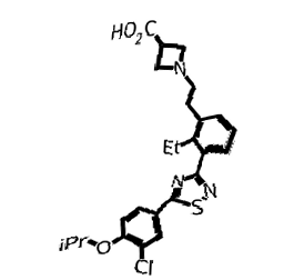 CCc1c(CCN2CC(C(=O)O)C2)cccc1-c1nsc(-c2ccc(OC(C)C)c(Cl)c2)n1